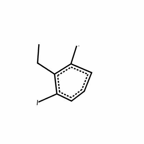 [CH2]c1cccc(I)c1CC